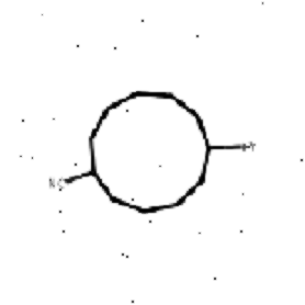 CC(C)C1CCCCCC(C#N)CCCC1